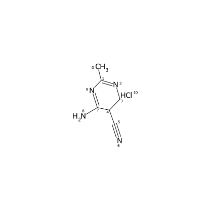 CC1=NCC(C#N)C(N)=N1.Cl